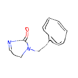 O=C1N=CCN1Cc1ccccc1